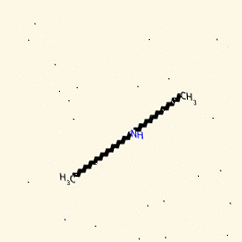 CCCCCCCCCCCCCCCCCCCCCCNCCCCCCCCCCCCCCCCCC